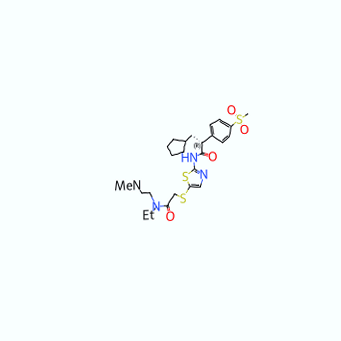 CCN(CCNC)C(=O)CSc1cnc(NC(=O)[C@H](CC2CCCC2)c2ccc(S(C)(=O)=O)cc2)s1